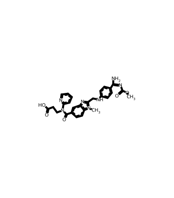 COC(=O)/N=C(/N)c1ccc(NCc2nc3cc(C(=O)N(CCC(=O)O)c4ccccn4)ccc3n2C)cc1